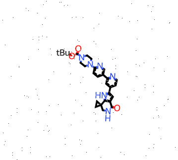 CC(C)(C)OC(=O)N1CCN(c2ccc(-c3cc(-c4cc5c([nH]4)C4(CC4)CNC5=O)ccn3)cn2)CC1